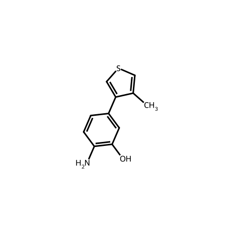 Cc1cscc1-c1ccc(N)c(O)c1